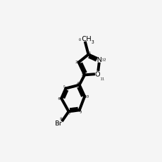 Cc1cc(-c2ccc(Br)cc2)on1